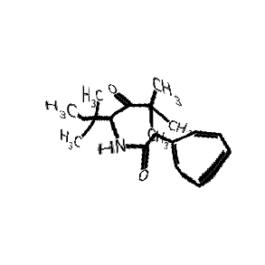 CC(C)(C)C(=O)C(NC(=O)Cc1ccccc1)C(C)(C)C